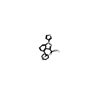 NC(=O)c1nn(-c2ccsc2)c2cccc(C3CN4CCC3CC4)c12